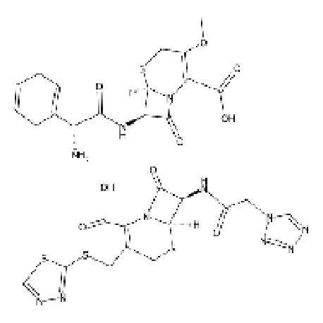 COC1=C(C(=O)O)N2C(=O)[C@@H](NC(=O)[C@H](N)C3=CCC=CC3)[C@H]2SC1.O=C(Cn1cnnn1)N[C@@H]1C(=O)N2C(C(=O)O)=C(CSc3nncs3)CS[C@H]12